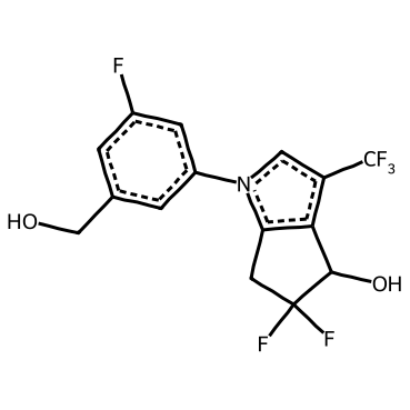 OCc1cc(F)cc(-n2cc(C(F)(F)F)c3c2CC(F)(F)C3O)c1